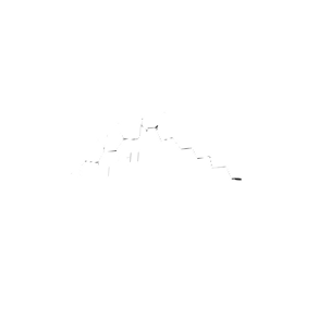 C=CCCCCCCCCC(=O)N(C)CC(O)C(O)C(O)C(O)CO